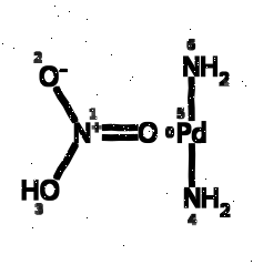 O=[N+]([O-])O.[NH2][Pd][NH2]